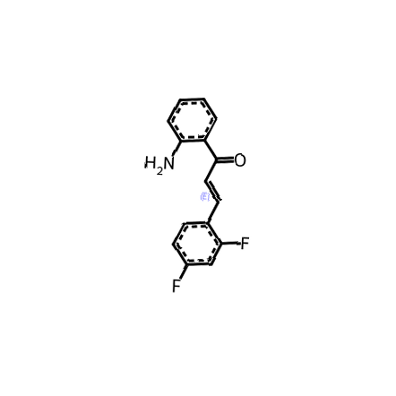 Nc1ccccc1C(=O)/C=C/c1ccc(F)cc1F